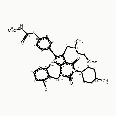 COCCN(C)Cc1c(-c2ccc(NC(=O)NOC)cc2)sc2c1c(=O)n(C1CCC(O)CC1)c(=O)n2Cc1c(F)cccc1F